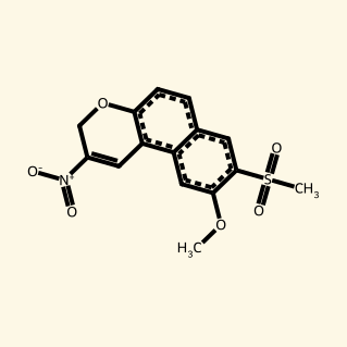 COc1cc2c3c(ccc2cc1S(C)(=O)=O)OCC([N+](=O)[O-])=C3